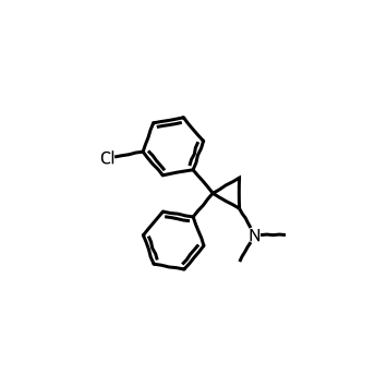 CN(C)C1CC1(c1ccccc1)c1cccc(Cl)c1